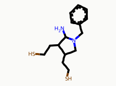 NC1C(CCS)C(CCS)CN1Cc1ccccc1